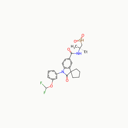 CC[C@](C)(C[SH](=O)=O)NC(=O)c1ccc2c(c1)C1(CCCC1)C(=O)N2c1cccc(OC(F)F)c1